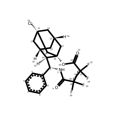 O=C(N[C@H](c1ccccc1)[C@H]1[C@H]2C[C@@H]3C[C@](Cl)(C2)C[C@@]1(OC(=O)C(F)(F)F)C3)C(F)(F)F